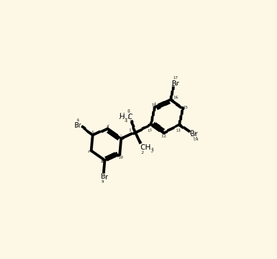 CC(C)(C1=CC(Br)CC(Br)=C1)C1=CC(Br)CC(Br)=C1